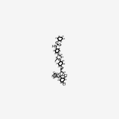 CC1CN(c2ccc(NC(=O)Oc3ccccc3)cc2)CCN1c1ccc(OCC2COC(Cn3cncn3)(c3ccc(Cl)cc3Cl)O2)cc1